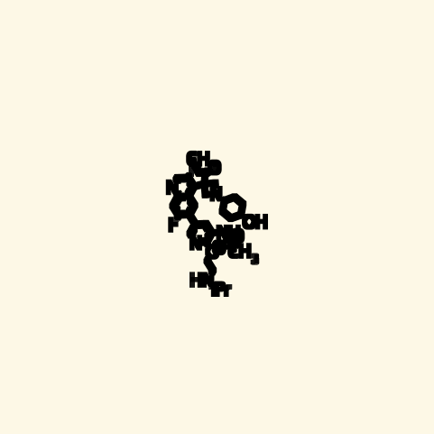 CC(C)NCCOc1ncc(-c2cc3c4c(cnc3cc2F)N(C)C(=O)C42CN([C@H]3CC[C@@H](O)CC3)C2)cc1NS(C)(=O)=O